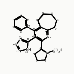 O=C(O)N1CCCC1c1nc2c(c(-c3ccccc3)c1-c1nnn[nH]1)CCCCC2